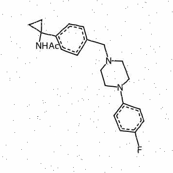 CC(=O)NC1(c2ccc(CN3CCN(c4ccc(F)cc4)CC3)cc2)CC1